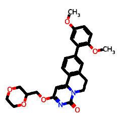 COc1ccc(OC)c(-c2ccc3c(c2)CCn2c-3cc(OCC3COCCO3)nc2=O)c1